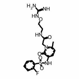 Cc1ccc(NS(=O)(=O)c2ccccc2F)c(=O)n1CC(=O)NCCONC(=N)N